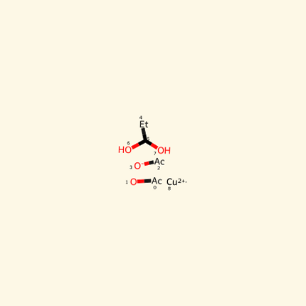 CC(=O)[O-].CC(=O)[O-].CCC(O)O.[Cu+2]